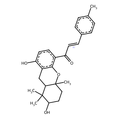 Cc1ccc(/C=C/C(=O)c2ccc(O)c3c2OC2(C)CCC(O)C(C)(C)C2C3)cc1